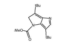 COC(=O)N1CC(C(C)(C)C)=C2N=CC(C(C)(C)C)=C21